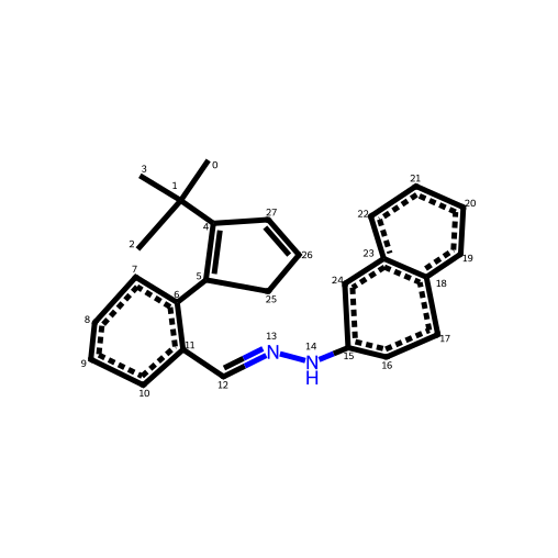 CC(C)(C)C1=C(c2ccccc2C=NNc2ccc3ccccc3c2)CC=C1